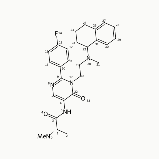 CN[C@@H](C)C(=O)Nc1cnc(-c2ccc(F)cc2)n(CCN(C)C2CCCc3ccccc32)c1=O